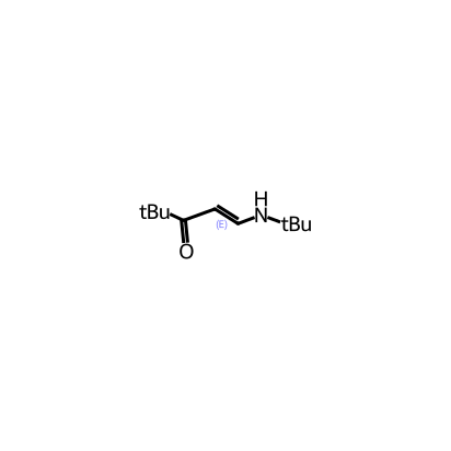 CC(C)(C)N/C=C/C(=O)C(C)(C)C